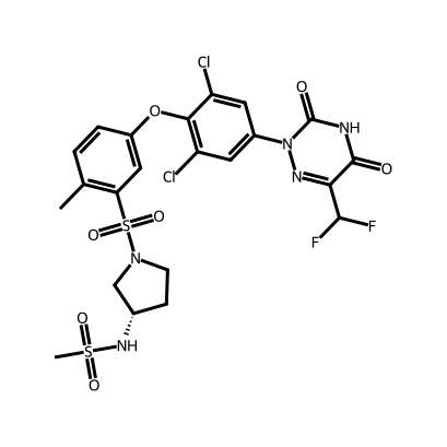 Cc1ccc(Oc2c(Cl)cc(-n3nc(C(F)F)c(=O)[nH]c3=O)cc2Cl)cc1S(=O)(=O)N1CC[C@H](NS(C)(=O)=O)C1